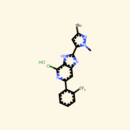 Cl.Cn1nc(C(C)(C)C)cc1-c1nc2cc(-c3ccccc3C(F)(F)F)nc(Cl)c2[nH]1